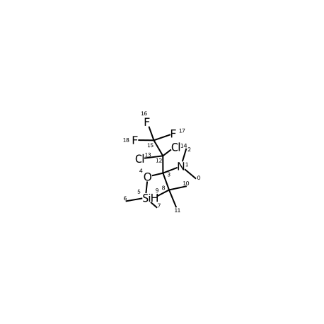 CN(C)C(O[SiH](C)C)(C(C)(C)C)C(Cl)(Cl)C(F)(F)F